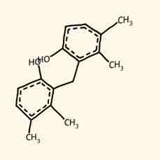 Cc1ccc(O)c(Cc2c(O)ccc(C)c2C)c1C